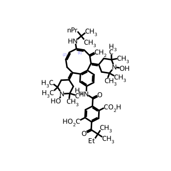 C=C1/C=C(NC(C)(C)CCC)\C=C/CC(=C2CC(C)(C)N(O)C(C)(C)C2)c2cc(NC(=O)c3cc(C(=O)O)c(C(=O)C(C)(C)CC)cc3C(=O)O)ccc2C1=C1CC(C)(C)N(O)C(C)(C)C1